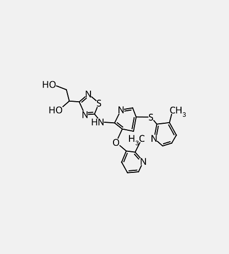 Cc1cccnc1Sc1cnc(Nc2nc(C(O)CO)ns2)c(Oc2cccnc2C)c1